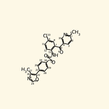 Cc1ccc(C(=O)c2cc(Cl)ccc2NS(=O)(=O)c2ccc(-c3ocnc3C)cc2)cn1